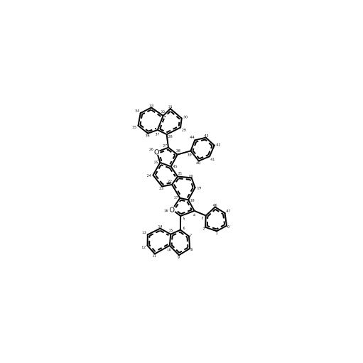 c1ccc(-c2c(-c3cccc4ccccc34)oc3c2ccc2c3ccc3oc(-c4cccc5ccccc45)c(-c4ccccc4)c32)cc1